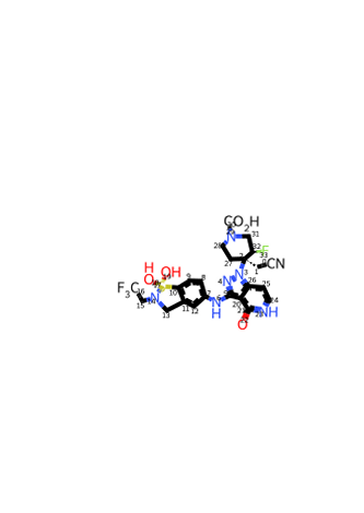 N#CC[C@]1(n2nc(Nc3ccc4c(c3)CN(CC(F)(F)F)S4(O)O)c3c(=O)[nH]ccc32)CCN(C(=O)O)C[C@H]1F